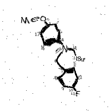 COc1ccc(N(Cc2ccc(F)cc2)CC(C)(C)C)cc1